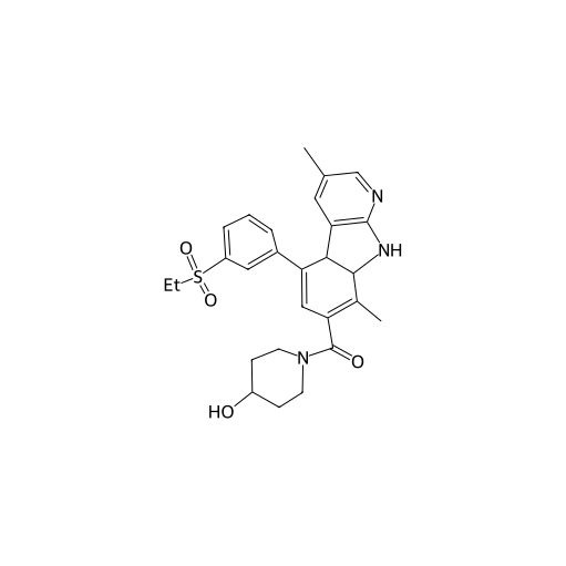 CCS(=O)(=O)c1cccc(C2=CC(C(=O)N3CCC(O)CC3)=C(C)C3Nc4ncc(C)cc4C23)c1